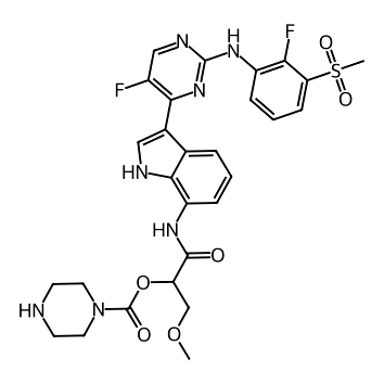 COCC(OC(=O)N1CCNCC1)C(=O)Nc1cccc2c(-c3nc(Nc4cccc(S(C)(=O)=O)c4F)ncc3F)c[nH]c12